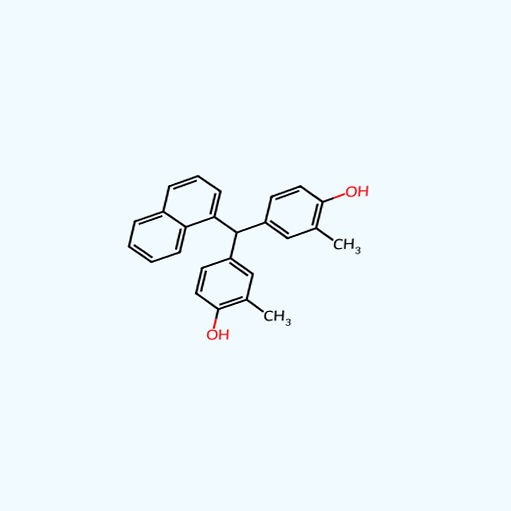 Cc1cc(C(c2ccc(O)c(C)c2)c2cccc3ccccc23)ccc1O